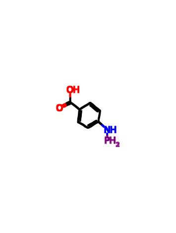 O=C(O)c1ccc(NP)cc1